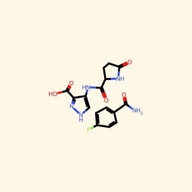 NC(=O)c1ccc(F)cc1.O=C1CCC(C(=O)Nc2c[nH]nc2C(=O)O)N1